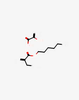 C=C(CC)C(=O)OCCCCCC.C=C(O)C(=O)O